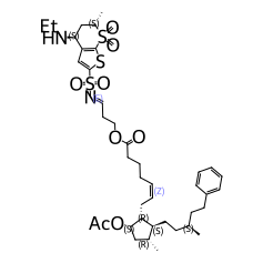 CCN[C@H]1C[C@H](C)S(=O)(=O)c2sc(S(=O)(=O)/N=C/CCOC(=O)CCC/C=C\C[C@@H]3[C@@H](CC[C@H](C)CCc4ccccc4)[C@H](C)C[C@@H]3OC(C)=O)cc21